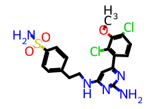 COc1c(Cl)ccc(-c2cc(NCCc3ccc(S(N)(=O)=O)cc3)nc(N)n2)c1Cl